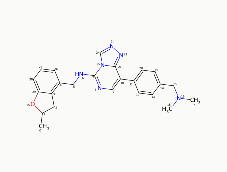 CC1Cc2c(CNc3ncc(-c4ccc(CN(C)C)cc4)c4nncn34)cccc2O1